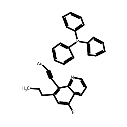 CCCc1cc(F)c2cccnc2c1C#[C][Au].c1ccc(P(c2ccccc2)c2ccccc2)cc1